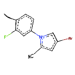 Cc1ccc(-n2cc(Br)cc2C#N)cc1F